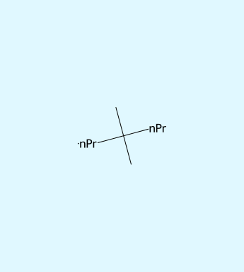 CC[CH]C(C)(C)CCC